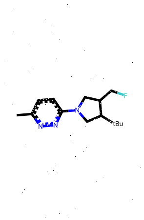 Cc1ccc(N2CC(CF)C(C(C)(C)C)C2)nn1